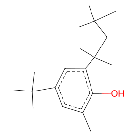 Cc1cc(C(C)(C)C)cc(C(C)(C)CC(C)(C)C)c1O